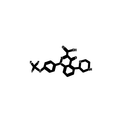 O=C(O)c1nn(-c2ccc(OC(F)(F)F)cc2)c2cccc(C3CNCCO3)c2c1=O